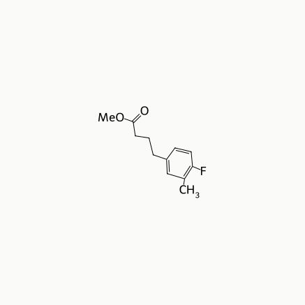 COC(=O)CCCc1ccc(F)c(C)c1